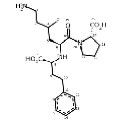 NCCC(F)C[C@H](N[C@@H](CCc1ccccc1)C(=O)O)C(=O)N1CCC[C@H]1C(=O)O